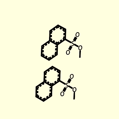 COS(=O)(=O)c1cccc2ccccc12.COS(=O)(=O)c1cccc2ccccc12